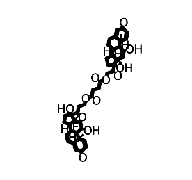 C[C@]12C=CC(=O)C=C1CC[C@@H]1[C@@H]2[C@@H](O)C[C@@]2(C)[C@H]1CC[C@]2(O)C(=O)COC(=O)CCC(=O)OCCC(=O)[C@]1(O)CC[C@@H]2[C@H]3CCC4=CC(=O)C=C[C@@]4(C)[C@]3(F)[C@H](O)C[C@]21C